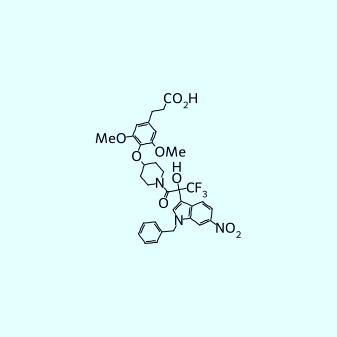 COc1cc(CCC(=O)O)cc(OC)c1OC1CCN(C(=O)C(O)(c2cn(Cc3ccccc3)c3cc([N+](=O)[O-])ccc23)C(F)(F)F)CC1